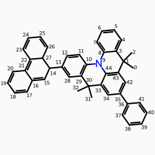 CC1(C)c2ccccc2N2c3ccc(C4C=c5ccccc5=C5C=CC=CC54)cc3C(C)(C)c3cc(-c4ccccc4)cc1c32